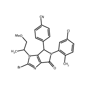 COCC(C)n1c(Br)nc2c1C(c1ccc(C#N)cc1)N(c1cc(Cl)ccc1C)C2=O